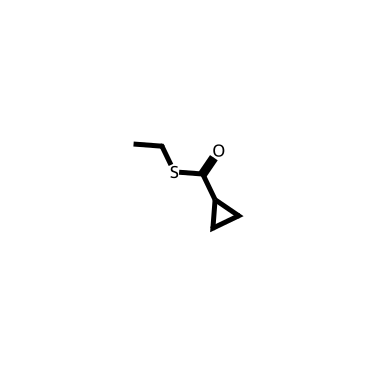 CCSC(=O)C1CC1